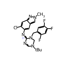 Cn1cc2cc(/N=C3/N=CN(C(C)(C)C)CN3Cc3cc(F)c(F)cc3F)c(Cl)cc2n1